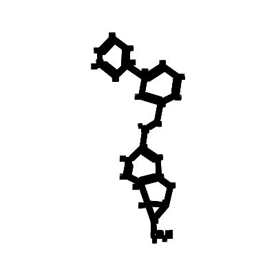 O=C(O)C1C2Cc3cc(OCc4cccc(-c5cccnc5)c4)ncc3C21